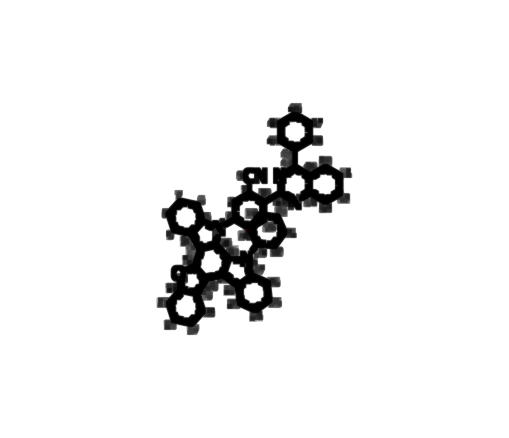 N#Cc1cc(-n2c3ccccc3c3c4oc5ccccc5c4c4c5ccccc5n(-c5ccccc5)c4c32)ccc1-c1nc(-c2ccccc2)c2ccccc2n1